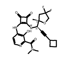 CN(C)C(=O)c1nccc(Nc2c(N[C@H](C#CC3CCC3)[C@]3(C)CC(F)(F)CO3)c(=O)c2=O)c1O